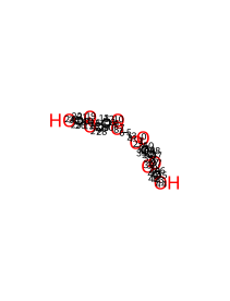 O=C(OCCCCCOC(=O)c1ccc2cc(OC(=O)c3ccc(O)cc3)ccc2c1)c1ccc2cc(OC(=O)c3ccc(O)cc3)ccc2c1